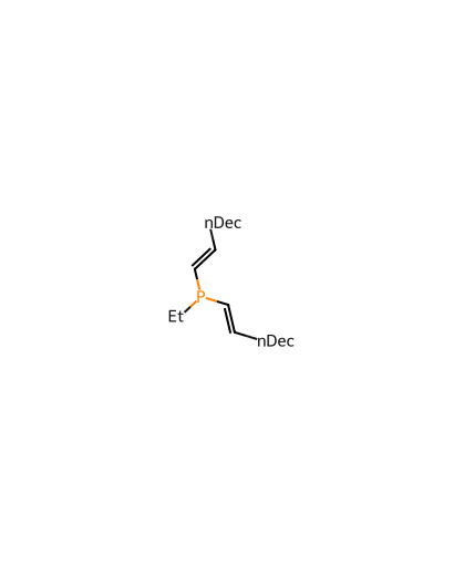 CCCCCCCCCCC=CP(C=CCCCCCCCCCC)CC